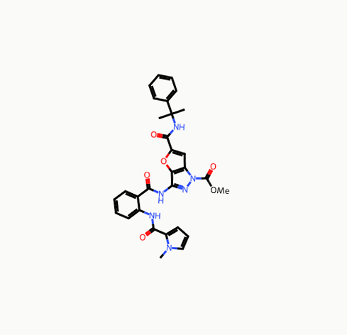 COC(=O)n1nc(NC(=O)c2ccccc2NC(=O)c2cccn2C)c2oc(C(=O)NC(C)(C)c3ccccc3)cc21